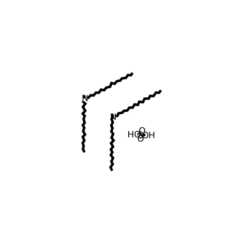 CCCCCCCCCCCCCCCCCCN(C)CCCCCCCCCCCCCCCCCC.CCCCCCCCCCCCCCCCCCN(C)CCCCCCCCCCCCCCCCCC.O=S(=O)(O)O